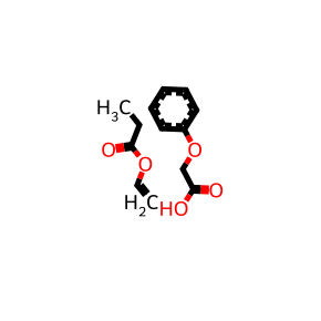 C=COC(=O)CC.O=C(O)COc1ccccc1